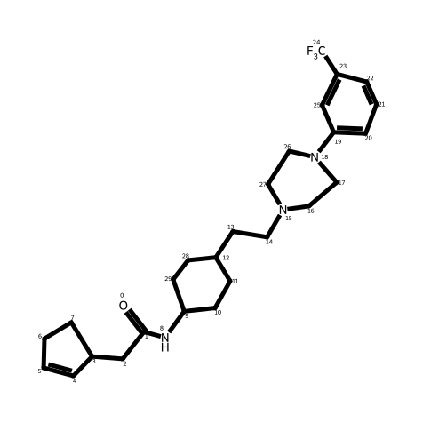 O=C(CC1C=CCC1)NC1CCC(CCN2CCN(c3cccc(C(F)(F)F)c3)CC2)CC1